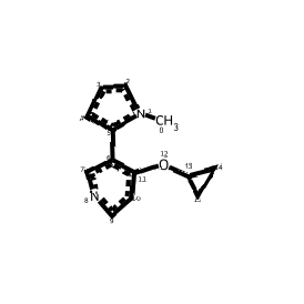 Cn1cccc1-c1cnccc1OC1CC1